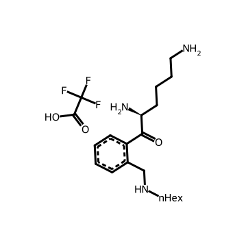 CCCCCCNCc1ccccc1C(=O)[C@@H](N)CCCCN.O=C(O)C(F)(F)F